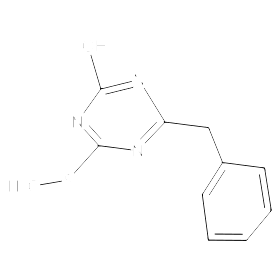 CSc1nc(O)nc(Cc2ccccc2)n1